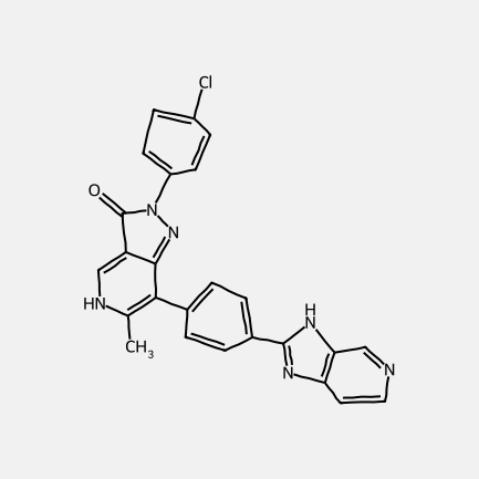 Cc1[nH]cc2c(=O)n(-c3ccc(Cl)cc3)nc-2c1-c1ccc(-c2nc3ccncc3[nH]2)cc1